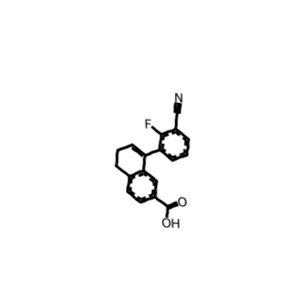 N#Cc1cccc(C2=CCCc3ccc(C(=O)O)cc32)c1F